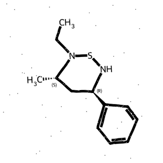 CCN1SN[C@@H](c2ccccc2)C[C@@H]1C